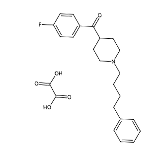 O=C(O)C(=O)O.O=C(c1ccc(F)cc1)C1CCN(CCCCc2ccccc2)CC1